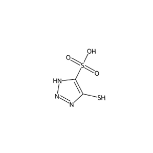 O=S(=O)(O)c1[nH]nnc1S